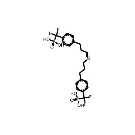 O=P(O)(O)C(F)(F)c1ccc(CC/C=N\CCCc2ccc(C(F)(F)P(=O)(O)O)cc2)cc1